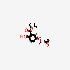 COC(=O)c1cc(OC[C@@H]2CO2)ccc1O